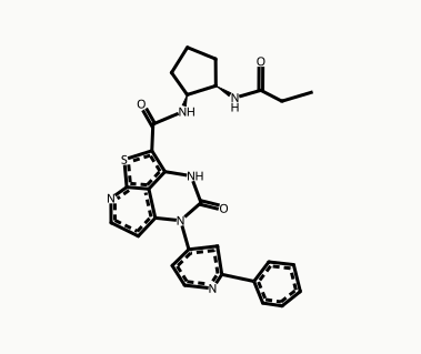 CCC(=O)N[C@@H]1CCC[C@@H]1NC(=O)c1sc2nccc3c2c1NC(=O)N3c1ccnc(-c2ccccc2)c1